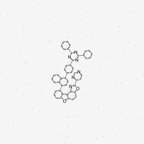 c1ccc(-c2nc(-c3ccccc3)nc(-c3ccc(-c4ccc(-c5cccc6oc7ccc8oc(-c9ccncn9)nc8c7c56)c5ccccc45)cc3)n2)cc1